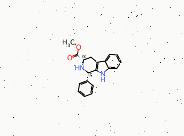 COC(=O)[C@@H]1Cc2c([nH]c3ccccc23)[C@H](c2ccccc2)N1